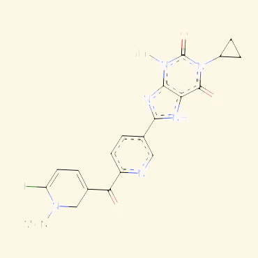 CCCn1c(=O)n(C2CC2)c(=O)c2[nH]c(-c3ccc(C(=O)C4=CC=C(Cl)N(NC)C4)nc3)nc21